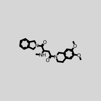 CNC(CC(=O)N1CCc2cc(OC)c(OC)cc2C1)C(=O)N1Cc2ccccc2C1